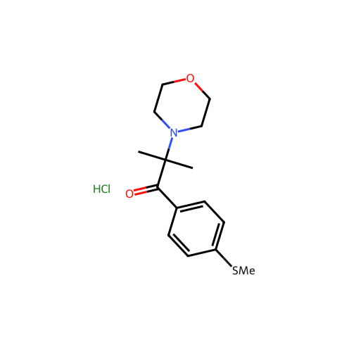 CSc1ccc(C(=O)C(C)(C)N2CCOCC2)cc1.Cl